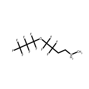 C[SiH2]CCC(F)(F)C(F)(F)OC(F)(F)C(F)(F)C(F)(F)F